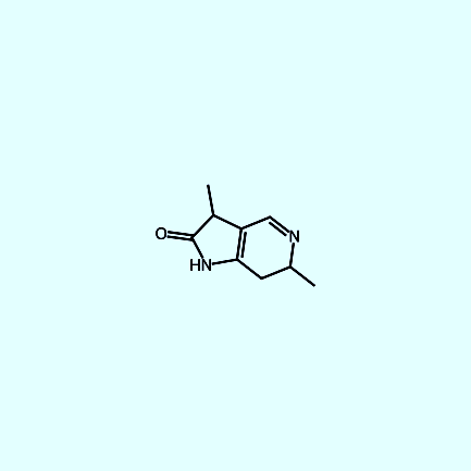 CC1CC2=C(C=N1)C(C)C(=O)N2